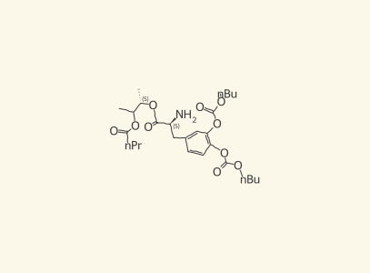 CCCCOC(=O)Oc1ccc(C[C@H](N)C(=O)O[C@@H](C)C(C)OC(=O)CCC)cc1OC(=O)OCCCC